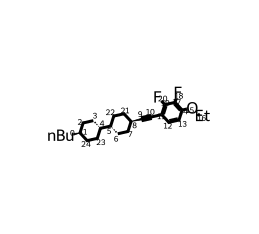 CCCC[C@H]1CC[C@H]([C@H]2CC[C@H](C#Cc3ccc(OCC)c(F)c3F)CC2)CC1